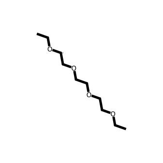 CCO[CH]COCCOCCOCC